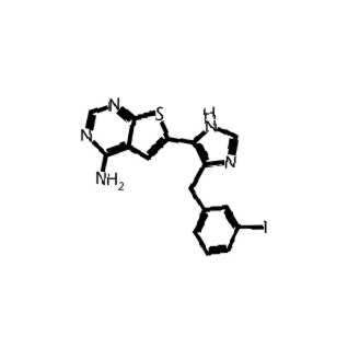 Nc1ncnc2sc(-c3[nH]cnc3Cc3cccc(I)c3)cc12